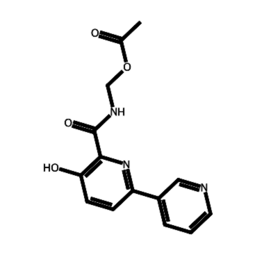 CC(=O)OCNC(=O)c1nc(-c2cccnc2)ccc1O